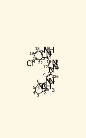 CN1C2CCC1CC(n1cc(-n3cc(-c4n[nH]c5ccc(Cl)cc45)nn3)cn1)C2